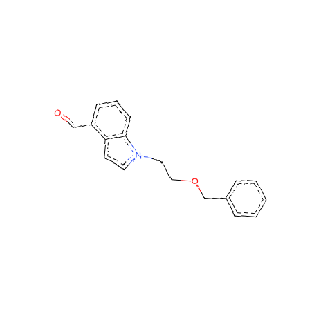 O=Cc1cccc2c1ccn2CCOCc1ccccc1